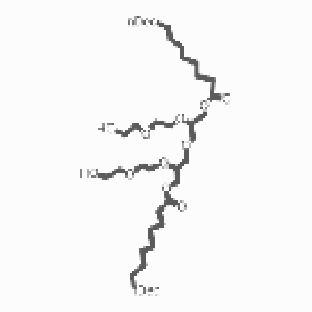 CCCCCCCCCCCCCCCCCC(=O)OCC(COCC(COC(=O)CCCCCCCCCCCCCCCCC)OCCOCCO)OCCOCCO